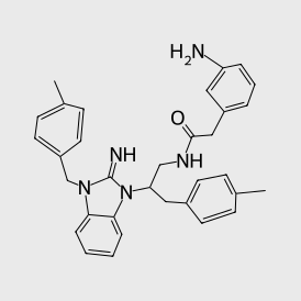 Cc1ccc(CC(CNC(=O)Cc2cccc(N)c2)n2c(=N)n(Cc3ccc(C)cc3)c3ccccc32)cc1